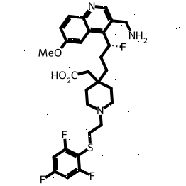 COc1ccc2ncc(CN)c([C@H](F)CCC3(CC(=O)O)CCN(CCSc4c(F)cc(F)cc4F)CC3)c2c1